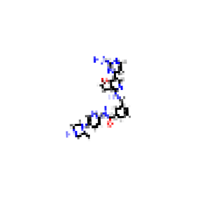 CC1CNCCN1c1ccc(NC(=O)c2cccc(CNc3ncc(-c4ccnc(N)n4)c4c3CCO4)c2)nc1